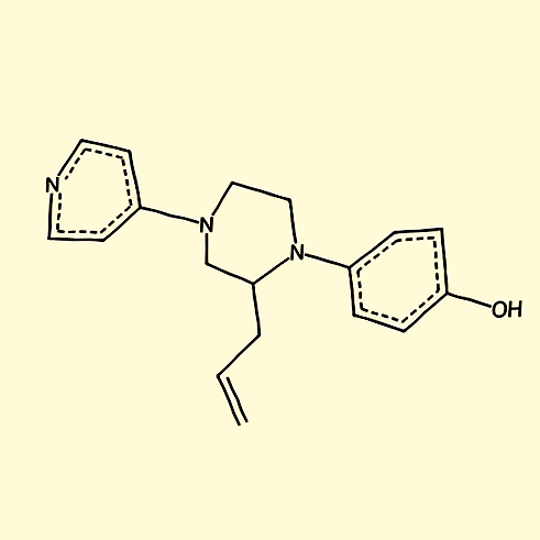 C=CCC1CN(c2ccncc2)CCN1c1ccc(O)cc1